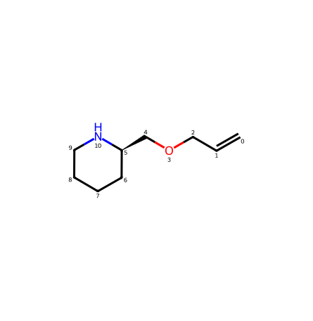 C=CCOC[C@H]1CCCCN1